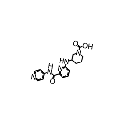 O=C(Nc1ccncc1)c1cccc(NC2CCCN(C(=O)O)C2)n1